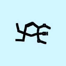 CCC1(CC)C=CC(OC)C(O)(OC)C1